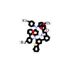 CC(C)(C)c1ccc(N(c2ccc(C(C)(C)C)cc2)c2ccc3c(c2)B2c4c(cc5c(sc6ccccc65)c4N3c3ccc(C(C)(C)C)cc3-c3ccccc3)-c3cccc4c5oc6ccccc6c5n2c34)cc1